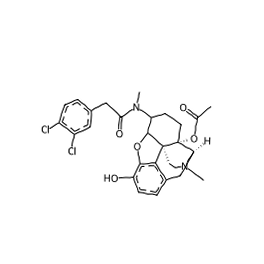 CC(=O)O[C@@]12CCC(N(C)C(=O)Cc3ccc(Cl)c(Cl)c3)C3Oc4c(O)ccc5c4[C@@]31CCN(C)[C@@H]2C5